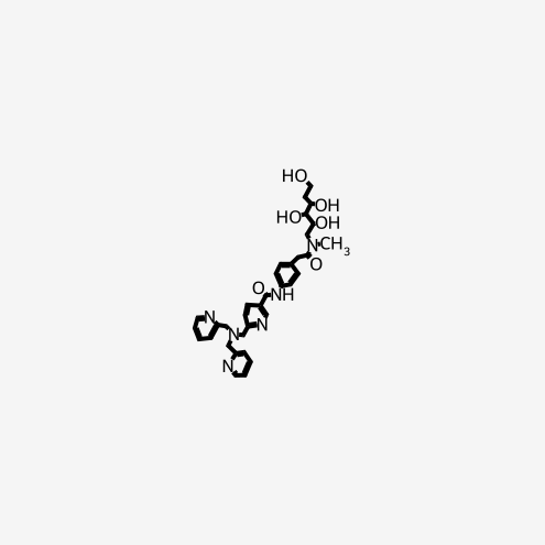 CN(CC(O)C(O)C(O)CCO)C(=O)Cc1ccc(NC(=O)c2ccc(CN(Cc3ccccn3)Cc3ccccn3)nc2)cc1